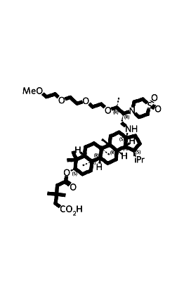 COCCOCCOCCO[C@H](C)[C@@H](CN[C@]12CC[C@@H](C(C)C)[C@@H]1[C@H]1CC[C@@H]3[C@@]4(C)CC[C@H](OC(=O)CC(C)(C)CC(=O)O)C(C)(C)[C@@H]4CC[C@@]3(C)[C@]1(C)CC2)N1CCS(=O)(=O)CC1